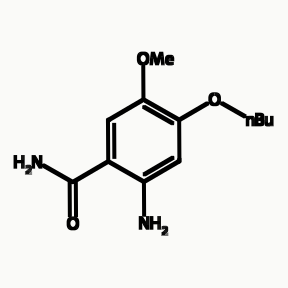 CCCCOc1cc(N)c(C(N)=O)cc1OC